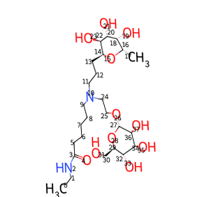 CCNC(=O)CCCCCN(CCC[C@@H]1O[C@@H](C)[C@@H](O)[C@@H](O)[C@@H]1O)CCO[C@H]1O[C@H](CO)[C@@H](O)[C@H](O)[C@@H]1O